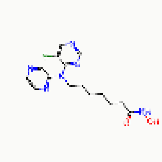 O=C(CCCCCCN(c1cnccn1)c1ncncc1F)NO